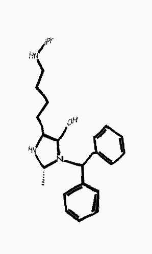 CC(C)NCCCCC1N[C@@H](C)N(C(c2ccccc2)c2ccccc2)C1O